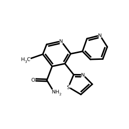 Cc1cnc(-c2cccnc2)c(-c2nccs2)c1C(N)=O